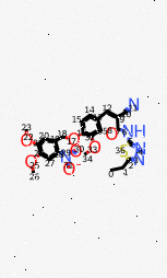 CCc1nnc(NC(=O)C(C#N)=Cc2ccc(OCc3cc(OC)c(OC)cc3[N+](=O)[O-])c(OC)c2)s1